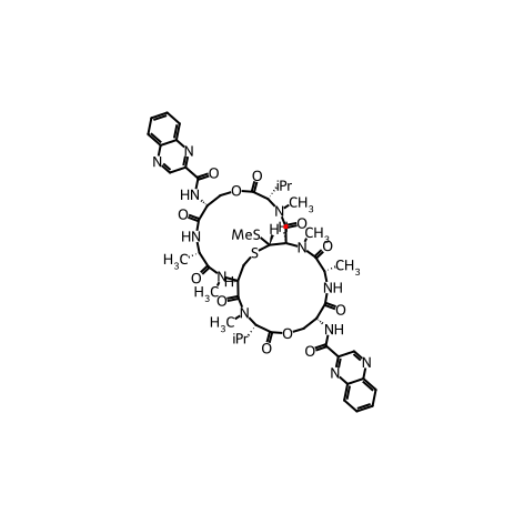 CS[C@H]1SC[C@H]2C(=O)N(C)[C@@H](C(C)C)C(=O)OC[C@@H](NC(=O)c3cnc4ccccc4n3)C(=O)N[C@@H](C)C(=O)N(C)[C@@H]1C(=O)N(C)[C@@H](C(C)C)C(=O)OC[C@@H](NC(=O)c1cnc3ccccc3n1)C(=O)N[C@@H](C)C(=O)N2C